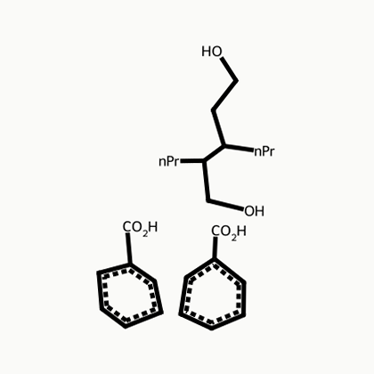 CCCC(CO)C(CCC)CCO.O=C(O)c1ccccc1.O=C(O)c1ccccc1